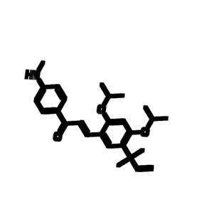 C=CC(C)(C)c1cc(/C=C/C(=O)c2ccc(NC)cc2)c(OC(C)C)cc1OC(C)C